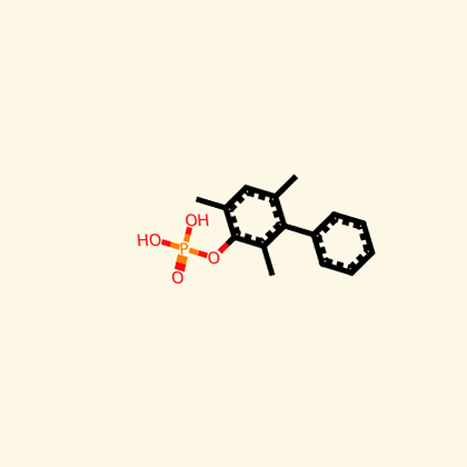 Cc1cc(C)c(-c2ccccc2)c(C)c1OP(=O)(O)O